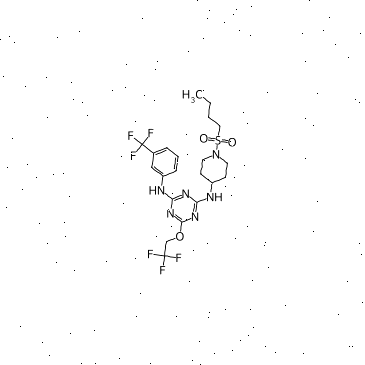 CCCCS(=O)(=O)N1CCC(Nc2nc(Nc3cccc(C(F)(F)F)c3)nc(OCC(F)(F)F)n2)CC1